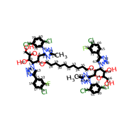 Cc1nc(C2OC(CO)C(O)C(n3cc(-c4ccc(Cl)c(F)c4)nn3)C2OCCCCCCCCCCOC2C(c3nc(C)nn3-c3cc(Cl)ccc3Cl)OC(CO)C(O)C2n2cc(-c3ccc(Cl)c(F)c3)nn2)n(-c2cc(Cl)ccc2Cl)n1